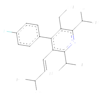 CCc1c(C(C)C)nc(C(C)C)c(/C=C/C(C)C)c1-c1ccc(F)cc1